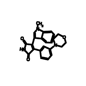 Cn1cc(C2=C(c3cccc(N4CCOCC4)c3)C(=O)NC2=O)c2ccccc21